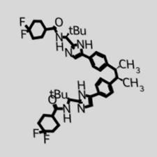 C[C@@H](c1ccc(-c2cnc([C@@H](NC(=O)C3CCC(F)(F)CC3)C(C)(C)C)[nH]2)cc1)[C@@H](C)c1ccc(-c2cnc([C@@H](NC(=O)C3CCC(F)(F)CC3)C(C)(C)C)[nH]2)cc1